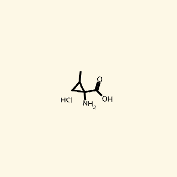 CC1CC1(N)C(=O)O.Cl